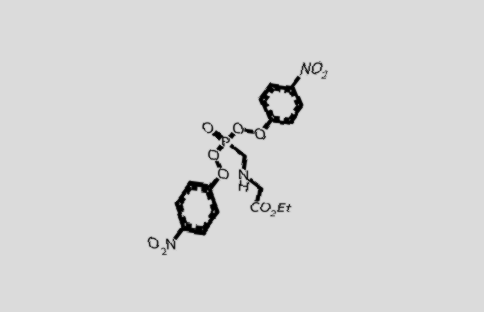 CCOC(=O)CNCP(=O)(OOc1ccc([N+](=O)[O-])cc1)OOc1ccc([N+](=O)[O-])cc1